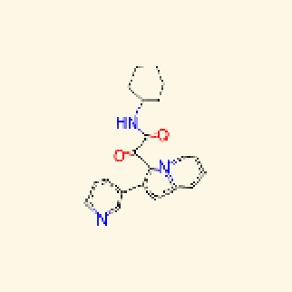 O=C(NC1CCCCC1)C(=O)c1c(-c2cccnc2)cc2ccccn12